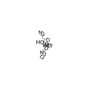 Cl.Cl.OC1c2cc(OCc3ccc4ccccc4n3)ccc2OCC1Cc1cccnc1